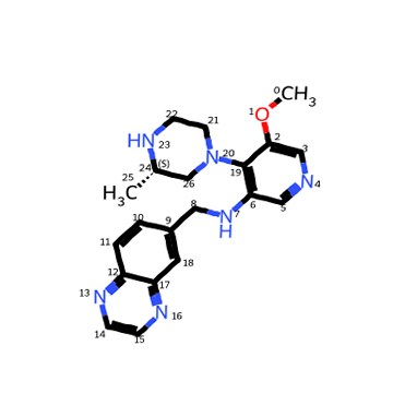 COc1cncc(NCc2ccc3nccnc3c2)c1N1CCN[C@@H](C)C1